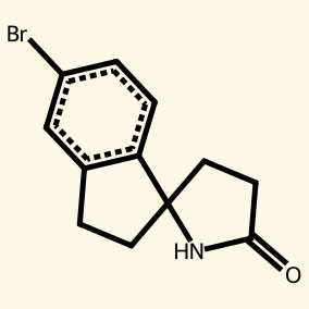 O=C1CCC2(CCc3cc(Br)ccc32)N1